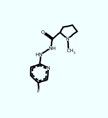 CN1CCCC1C(=O)NNc1ccc(F)cn1